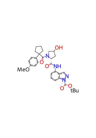 COc1ccc(C2(C(=O)N3C[C@@H](O)C[C@@H]3C(=O)Nc3cccc4c3cnn4C(=O)OC(C)(C)C)CCCC2)cc1